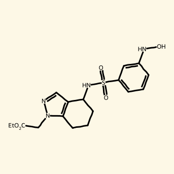 CCOC(=O)Cn1ncc2c1CCCC2NS(=O)(=O)c1cccc(NO)c1